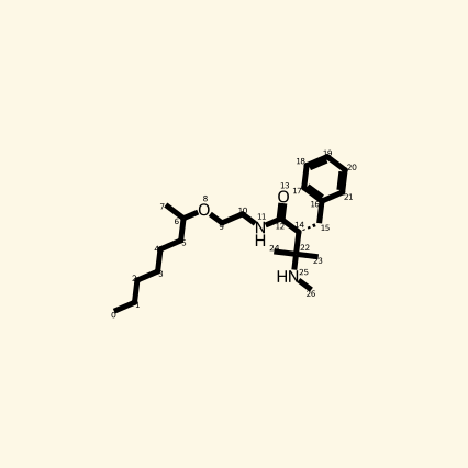 CCCCCCC(C)OCCNC(=O)[C@H](Cc1ccccc1)C(C)(C)NC